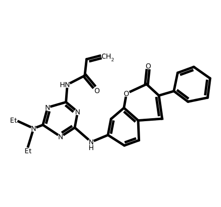 C=CC(=O)Nc1nc(Nc2ccc3cc(-c4ccccc4)c(=O)oc3c2)nc(N(CC)CC)n1